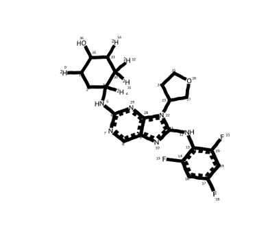 [2H]C1CC([2H])(Nc2ncc3nc(Nc4c(F)cc(F)cc4F)n(C4CCOC4)c3n2)C([2H])([2H])C([2H])C1O